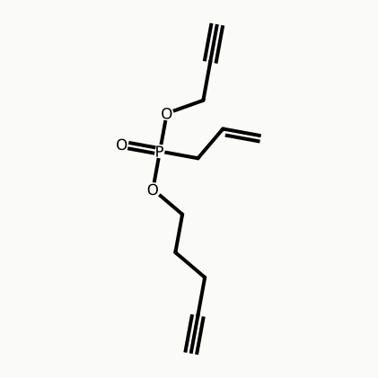 C#CCCCOP(=O)(CC=C)OCC#C